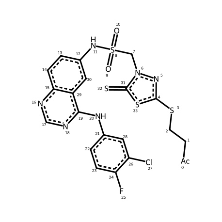 CC(=O)CCSc1nn(CS(=O)(=O)Nc2ccc3ncnc(Nc4ccc(F)c(Cl)c4)c3c2)c(=S)s1